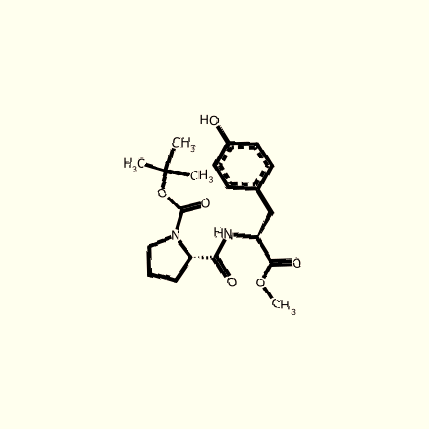 COC(=O)[C@H](Cc1ccc(O)cc1)NC(=O)[C@@H]1CCCN1C(=O)OC(C)(C)C